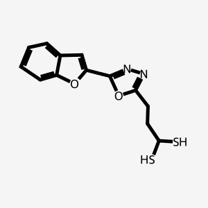 SC(S)CCc1nnc(-c2cc3ccccc3o2)o1